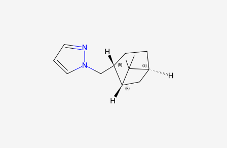 CC1(C)[C@H]2CC[C@@H](Cn3cccn3)[C@H]1C2